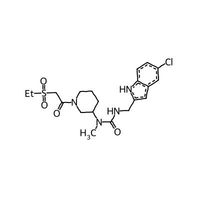 CCS(=O)(=O)CC(=O)N1CCCC(N(C)C(=O)NCc2cc3cc(Cl)ccc3[nH]2)C1